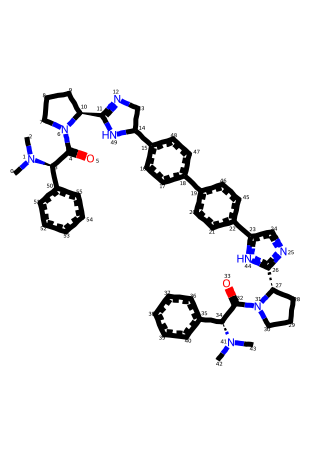 CN(C)[C@@H](C(=O)N1CCC[C@H]1C1=NCC(c2ccc(-c3ccc(-c4cnc([C@@H]5CCCN5C(=O)[C@@H](c5ccccc5)N(C)C)[nH]4)cc3)cc2)N1)c1ccccc1